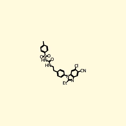 CCc1nc2cc(C#N)c(Cl)cc2n1-c1ccc(CCNC(=O)NS(=O)(=O)c2ccc(C)cc2)cc1